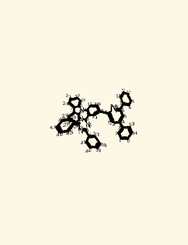 c1ccc(-c2cc(-c3ccccc3)nc(-c3ccc(-n4c5ccccc5c5ccccc54)c(-c4nc(-c5ccccc5)nc(-c5ccccc5)n4)c3)c2)cc1